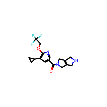 O=C(c1cnc(OCC(F)(F)F)c(C2CC2)c1)N1CC2=C(CNC2)C1